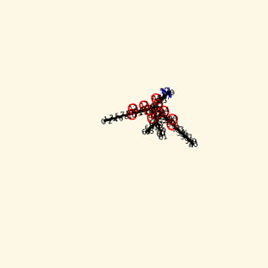 CCCCCCCCCCOC(=O)CCCC(=O)OCC(COC(=O)CCCC(=O)OCCCCCCCCCC)(COC(=O)CCCN(C)C)COC(=O)CC(CCCCC)CCCCC